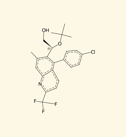 Cc1cc2nc(C(F)(F)F)ccc2c(-c2ccc(Cl)cc2)c1[C@@H](CO)OC(C)(C)C